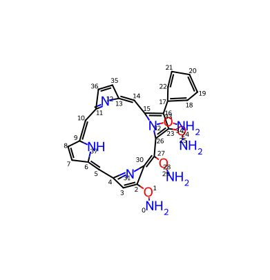 NOC1=Cc2cc3ccc(cc4nc(cc5c(-c6ccccc6)c(ON)c(c(ON)c1n2)n5ON)C=C4)[nH]3